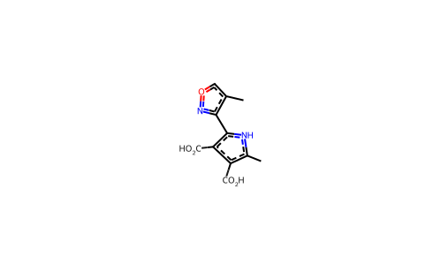 Cc1conc1-c1[nH]c(C)c(C(=O)O)c1C(=O)O